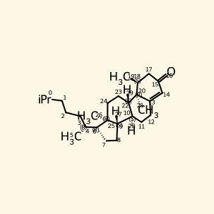 CC(C)CCC[C@@H](C)[C@H]1CC[C@H]2[C@@H]3CCC4=CC(=O)C[C@H](C)[C@]4(C)[C@H]3CC[C@]12C